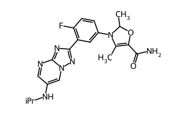 CC1=C(C(N)=O)OC(C)N1c1ccc(F)c(-c2nc3ncc(NC(C)C)cn3n2)c1